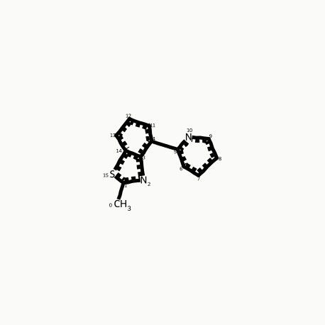 Cc1nc2c(-c3ccccn3)[c]ccc2s1